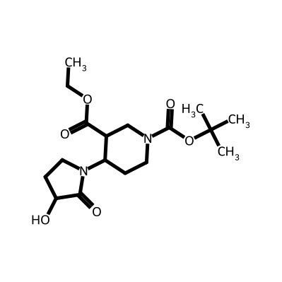 CCOC(=O)C1CN(C(=O)OC(C)(C)C)CCC1N1CCC(O)C1=O